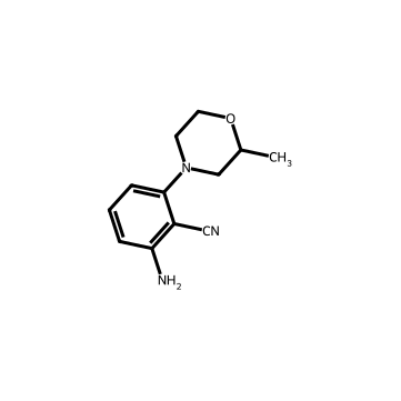 CC1CN(c2cccc(N)c2C#N)CCO1